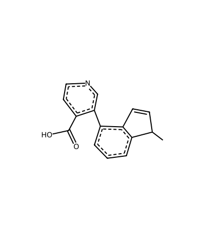 CC1C=Cc2c(-c3cnccc3C(=O)O)cccc21